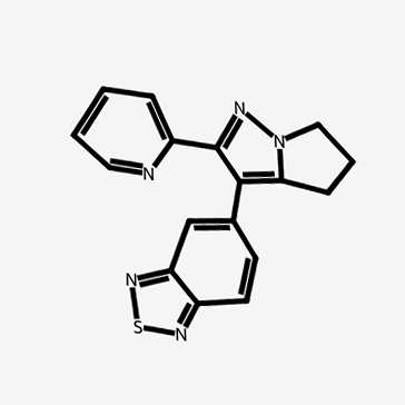 c1ccc(-c2nn3c(c2-c2ccc4nsnc4c2)CCC3)nc1